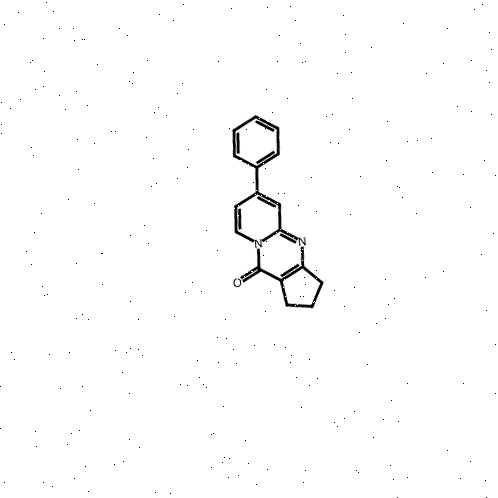 O=c1c2c(nc3cc(-c4ccccc4)ccn13)CCC2